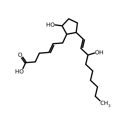 CCCCCCC(O)C=CC1CCC(O)C1CC=CCCC(=O)O